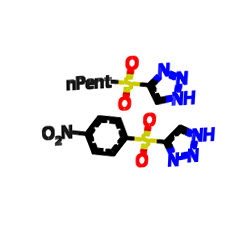 CCCCCS(=O)(=O)c1c[nH]nn1.O=[N+]([O-])c1ccc(S(=O)(=O)c2c[nH]nn2)cc1